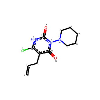 C=CCc1c(Cl)[nH]c(=O)n(N2CCCCC2)c1=O